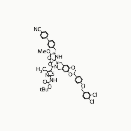 COC(=O)[C@H](Cc1ccc(-c2ccc(C#N)cc2)cc1)NC(=O)[C@@H]1Cc2cc3c(cc2CN1C(=O)c1sc(NC(=O)OC(C)(C)C)nc1C)OC(c1ccc(OCc2ccc(Cl)c(Cl)c2)cc1)CO3